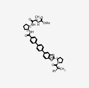 COC(=O)N[C@@H](C)C(=O)N[C@H]1CCC[C@@H]1NC(=O)c1ccc(-c2ccc(-c3ccc4[nH]c([C@@H]5CCCN5C(=O)[C@@H](C)C(C)C)nc4c3)cc2)cc1